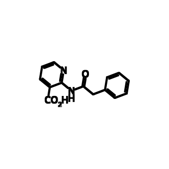 O=C(Cc1ccccc1)Nc1ncccc1C(=O)O